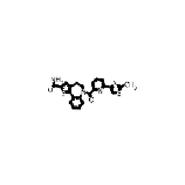 Cc1nc(-c2cccc(C(=O)N3CCc4cc(C(N)=O)sc4-c4ccccc43)n2)cs1